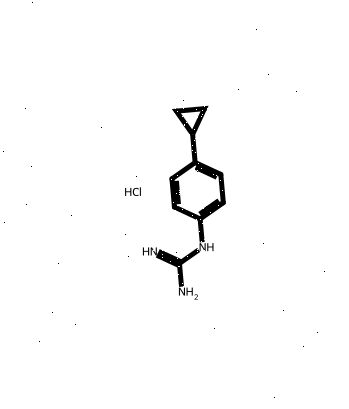 Cl.N=C(N)Nc1ccc(C2CC2)cc1